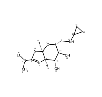 CCN(C)C1=N[C@H]2[C@H](O[C@H](CNC3CC3)C(O)[C@@H]2O)S1